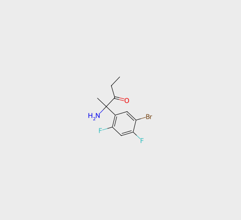 CCC(=O)C(C)(N)c1cc(Br)c(F)cc1F